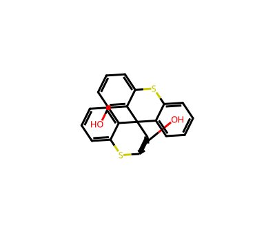 Oc1cccc2c1C1(c3ccccc3S2)c2ccccc2Sc2cccc(O)c21